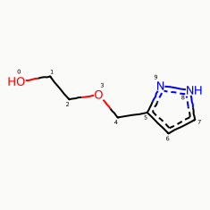 OCCOCc1cc[nH]n1